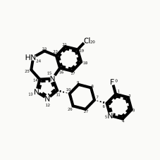 Fc1cccnc1[C@H]1CC[C@@H](c2nnc3n2-c2ccc(Cl)cc2CNC3)CC1